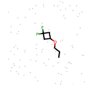 CCCOC1CC(F)(F)C1